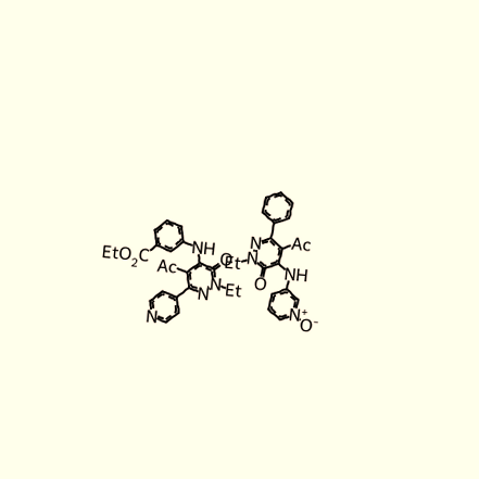 CCOC(=O)c1cccc(Nc2c(C(C)=O)c(-c3ccncc3)nn(CC)c2=O)c1.CCn1nc(-c2ccccc2)c(C(C)=O)c(Nc2ccc[n+]([O-])c2)c1=O